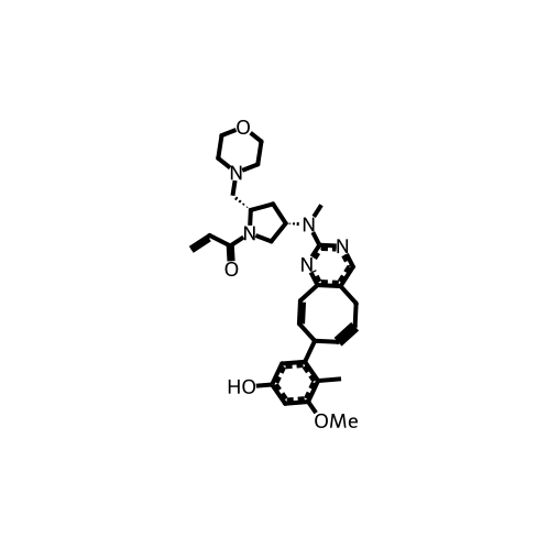 C=CC(=O)N1C[C@@H](N(C)c2ncc3c(n2)/C=C\C(c2cc(O)cc(OC)c2C)C#CC3)C[C@H]1CN1CCOCC1